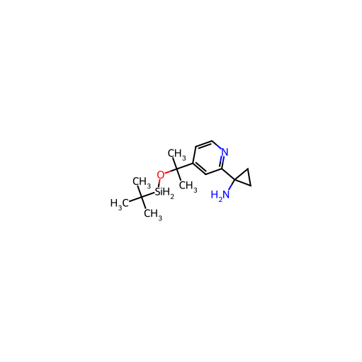 CC(C)(C)[SiH2]OC(C)(C)c1ccnc(C2(N)CC2)c1